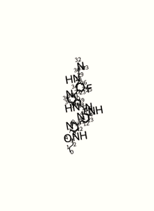 CCCC(=O)Nc1cncc(-c2ccc3[nH]nc(-c4cc5c(-c6cc(F)cc(NCCN(C)C)c6)nccc5[nH]4)c3n2)c1